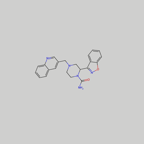 NC(=O)N1CCN(Cc2cnc3ccccc3c2)CC1c1noc2ccccc12